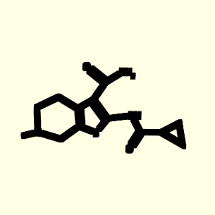 CN1CCc2c(sc(NC(=O)C3CC3)c2C(N)=O)C1